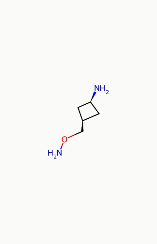 NOC[C@H]1C[C@@H](N)C1